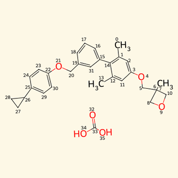 Cc1cc(OCC2(C)COC2)cc(C)c1-c1cccc(COc2ccc(C3CC3)cc2)c1.O=C(O)O